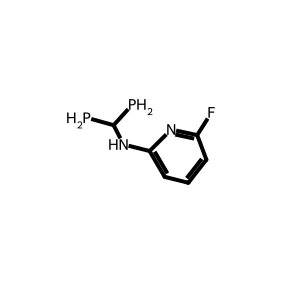 Fc1cccc(NC(P)P)n1